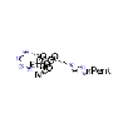 CC/C=C\C/C=C\C/C=C\C/C=C\CCCCC(=O)O[C@H](COC(=O)CCCCC/C=C\C/C=C\C/C=C\C/C=C\CCCCC)COP(=O)([O-])OCC[N+](C)(C)C